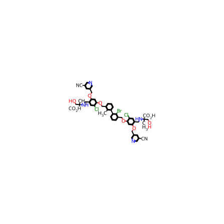 Cc1c(COc2cc(OCc3cncc(C#N)c3)c(CNC(C)(CO)C(=O)O)cc2Cl)cccc1-c1cccc(COc2cc(OCc3cncc(C#N)c3)c(CNC(C)(CO)C(=O)O)cc2Cl)c1Br